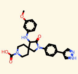 COc1cccc(NC2C(=O)N(c3ccc(-c4cn[nH]c4)cc3)CC23CCN(C(=O)O)CC3)c1